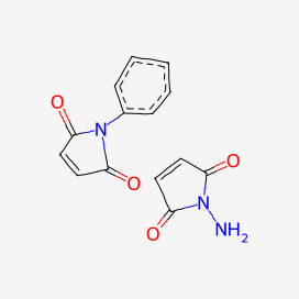 NN1C(=O)C=CC1=O.O=C1C=CC(=O)N1c1ccccc1